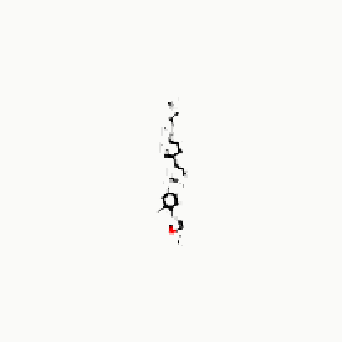 Cc1cc(Nc2nccc(-c3ccc(NCCCN(C)C)nc3)n2)ccc1N1CC2CC1CN2C